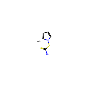 NC(=S)Sn1cccc1.[NaH]